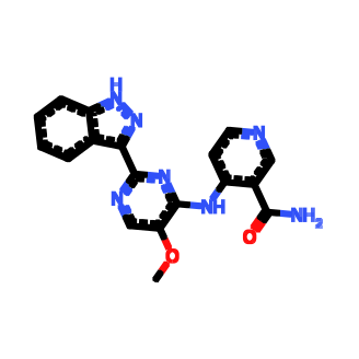 COc1cnc(-c2n[nH]c3ccccc23)nc1Nc1ccncc1C(N)=O